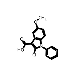 COc1ccc2c(c1)c(C(=O)O)c(Cl)n2-c1ccccc1